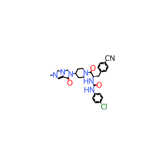 CN1C=C2C(=O)N(C3CCN(C(=O)[C@@H](Cc4ccc(C#N)cc4)NC(=O)Nc4ccc(Cl)cc4)CC3)CN2C1